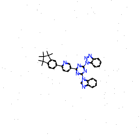 CC1(C)c2ccc(-c3ccc(-c4nc(-n5cnc6ccccc65)nc(-n5nnc6ccccc65)n4)cn3)cc2C(C)(C)C1(C)C